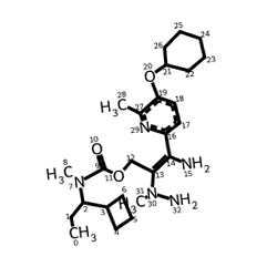 CCC(C1CCC1)N(C)C(=O)OC/C(=C(/N)c1ccc(OC2CCCCC2)c(C)n1)N(C)N